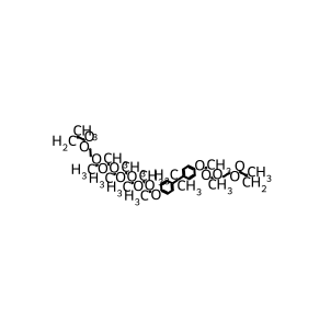 C=C(C)C(=O)OCCOC(C)OC(C)Oc1ccc(C(C)(C)c2ccc(OC(C)OC(C)OC(C)OC(C)OC(C)OC(C)OC(C)OCCOC(=O)C(=C)C)cc2)cc1